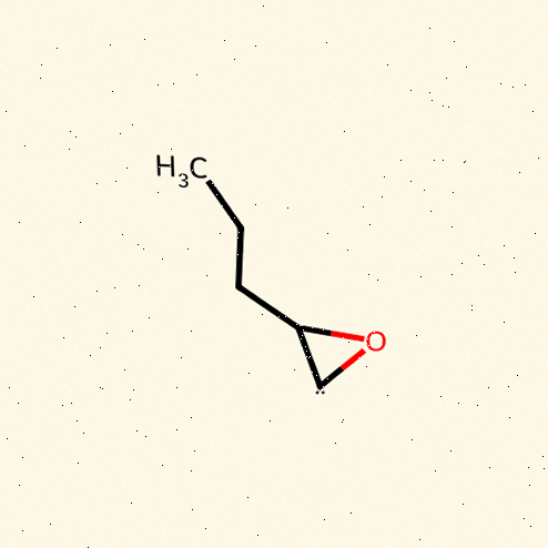 CCCC1[C]O1